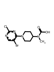 CN(C(=O)O)C1CCN(c2nc(Cl)ncc2Br)CC1